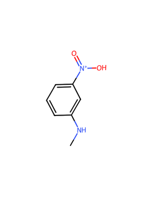 CNc1cccc([N+](=O)O)c1